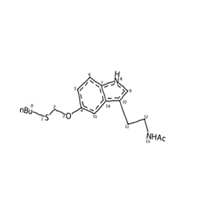 CCCCSCOc1ccc2[nH]cc(CCNC(C)=O)c2c1